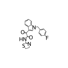 O=C(NC1=NCCS1)C(=O)c1cn(Cc2ccc(F)cc2)c2ccccc12